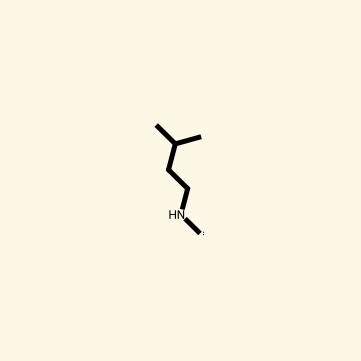 [CH]NCCC(C)C